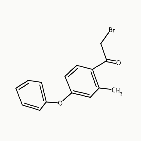 Cc1cc(Oc2ccccc2)ccc1C(=O)CBr